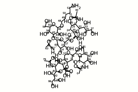 CC(=O)N[C@@H]1C(O[C@H]2C(CO)O[C@@H](OC3[C@H](O)C(CO[C@]4(C(=O)O)C[C@@H](O)[C@@H](NC(C)=O)C([C@H](O)[C@H](O)CO)O4)OC(OC4[C@H](O)C(OCCCCCN)OC(CO)[C@@H]4O)[C@H]3NC(C)=O)C(O)C2O[C@@]2(C(=O)O)CC(O)[C@H](NC(C)=O)C([C@H](O)[C@H](O)CO)O2)OC(CO)[C@H](O)C1O